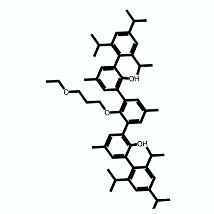 CCOCCCOc1c(-c2cc(C)cc(-c3c(C(C)C)cc(C(C)C)cc3C(C)C)c2O)cc(C)cc1-c1cc(C)cc(-c2c(C(C)C)cc(C(C)C)cc2C(C)C)c1O